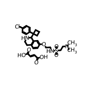 CN(C)CCS(=O)(=O)NCCOc1ccc2c(c1)C(C1(c3ccc(Cl)cc3)CCC1)NCC2.O=C(O)C=CC(=O)O